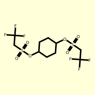 O=S(=O)(CC(F)(F)F)OC1CCC(OS(=O)(=O)CC(F)(F)F)CC1